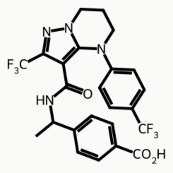 CC(NC(=O)c1c(C(F)(F)F)nn2c1N(c1ccc(C(F)(F)F)cc1)CCC2)c1ccc(C(=O)O)cc1